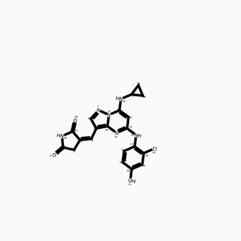 O=C1CC(=Cc2cnn3c(NC4CC4)cc(Nc4ccc(O)cc4Cl)nc23)C(=O)N1